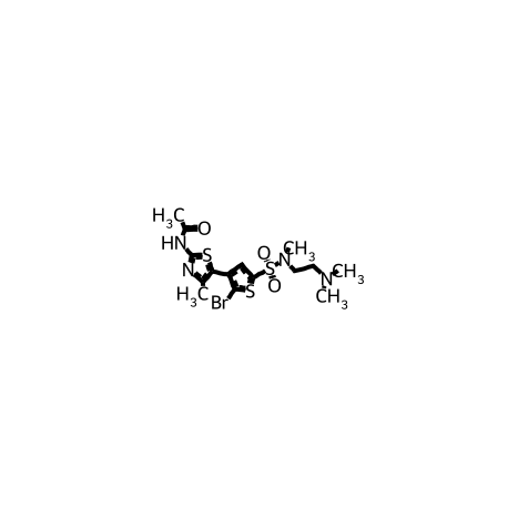 CC(=O)Nc1nc(C)c(-c2cc(S(=O)(=O)N(C)CCN(C)C)sc2Br)s1